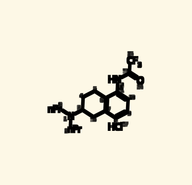 CCCN(CCC)C1CCc2c(cccc2NC(=O)C(F)(F)F)C1.Cl